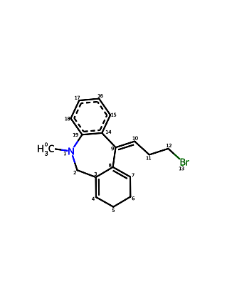 CN1CC2=CCCC=C2C(=CCCBr)c2ccccc21